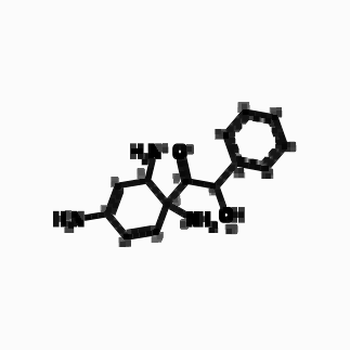 NC1=CC(N)C(N)(C(=O)C(O)c2ccccc2)C=C1